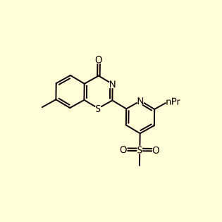 CCCc1cc(S(C)(=O)=O)cc(-c2nc(=O)c3ccc(C)cc3s2)n1